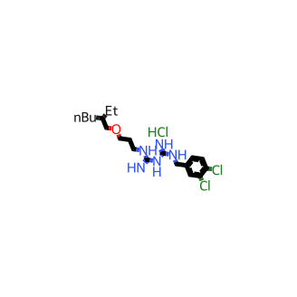 CCCCC(CC)COCCCNC(=N)NC(=N)NCc1ccc(Cl)c(Cl)c1.Cl